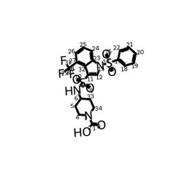 O=C(O)N1CCC(NS(=O)(=O)c2cn(S(=O)(=O)c3ccccc3)c3cccc(C(F)(F)F)c23)CC1